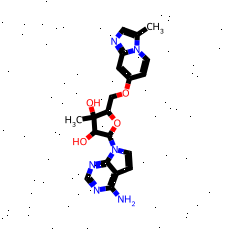 Cc1cnc2cc(OCC3OC(n4ccc5c(N)ncnc54)C(O)C3(C)O)ccn12